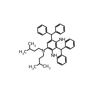 CC(C)CCN(CCC(C)C)c1cc(C(c2ccccc2)c2ccccc2)c(N)c(C(c2ccccc2)c2ccccc2)c1N